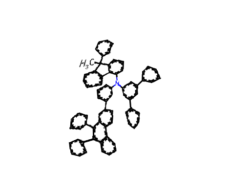 CC1(c2ccccc2)c2ccccc2-c2c(N(c3cccc(-c4ccc5c(c4)c(-c4ccccc4)c(-c4ccccc4)c4ccccc45)c3)c3cc(-c4ccccc4)cc(-c4ccccc4)c3)cccc21